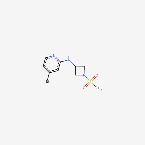 CCc1ccnc(NC2CN(S(C)(=O)=O)C2)c1